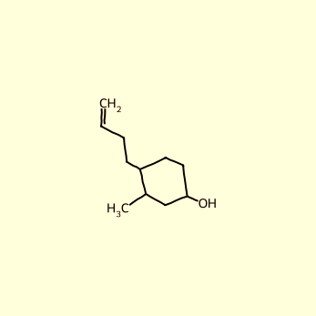 C=CCCC1CCC(O)CC1C